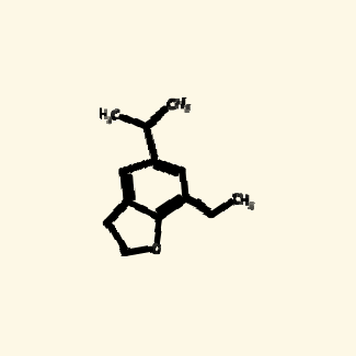 CCc1cc(C(C)C)cc2c1OCC2